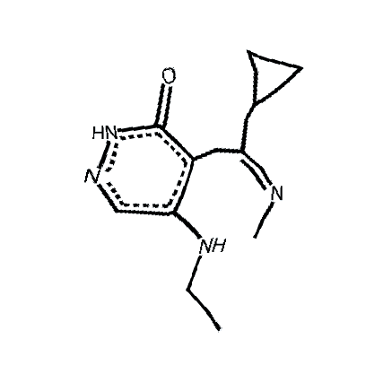 CCNc1cn[nH]c(=O)c1/C(=N\C)C1CC1